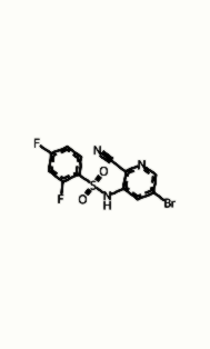 N#Cc1ncc(Br)cc1NS(=O)(=O)c1ccc(F)cc1F